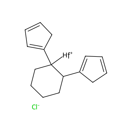 [Cl-].[Hf+][C]1(C2=CC=CC2)CCCCC1C1=CC=CC1